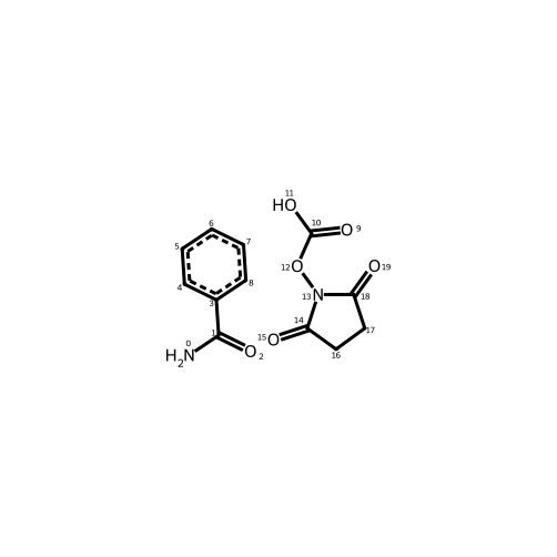 NC(=O)c1ccccc1.O=C(O)ON1C(=O)CCC1=O